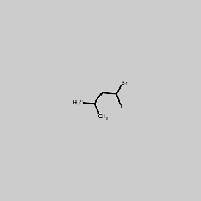 CC(C)CC(Br)I